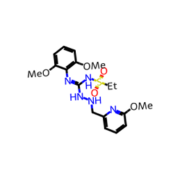 CCS(=O)(=O)N/C(=N\c1c(OC)cccc1OC)NNCc1cccc(OC)n1